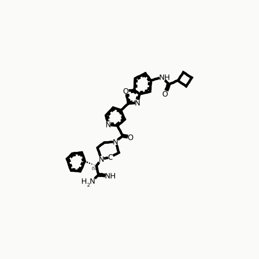 N=C(N)[C@H](c1ccccc1)N1CCN(C(=O)c2cc(-c3nc4cc(NC(=O)C5CCC5)ccc4o3)ccn2)CC1